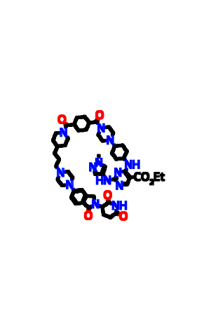 CCOC(=O)c1cnc(Nc2cnn(C)c2)nc1NC1CCC(N2CCN(C(=O)C3CCC(C(=O)N4CCC(CCCN5CCN(c6ccc7c(c6)CN(C6CCC(=O)NC6=O)C7=O)CC5)CC4)CC3)CC2)CC1